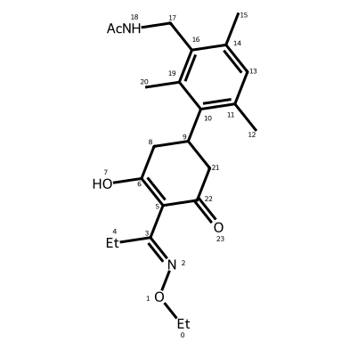 CCON=C(CC)C1=C(O)CC(c2c(C)cc(C)c(CNC(C)=O)c2C)CC1=O